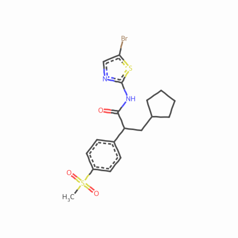 CS(=O)(=O)c1ccc(C(CC2CCCC2)C(=O)Nc2ncc(Br)s2)cc1